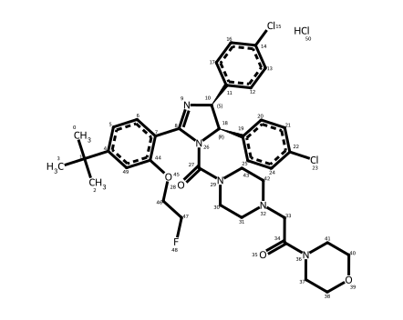 CC(C)(C)c1ccc(C2=N[C@@H](c3ccc(Cl)cc3)[C@@H](c3ccc(Cl)cc3)N2C(=O)N2CCN(CC(=O)N3CCOCC3)CC2)c(OCCF)c1.Cl